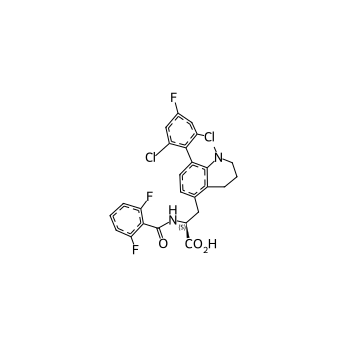 CN1CCCc2c(C[C@H](NC(=O)c3c(F)cccc3F)C(=O)O)ccc(-c3c(Cl)cc(F)cc3Cl)c21